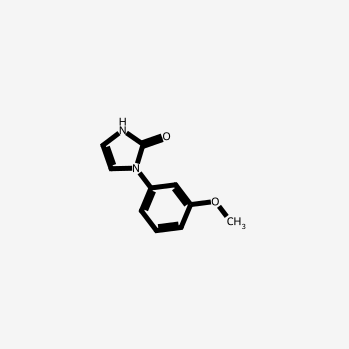 COc1cccc(-n2cc[nH]c2=O)c1